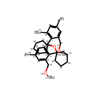 CC(C)c1cc(COC(C)(C)C)c(C2(OC3(c4c(COC(C)(C)C)cc(C(C)C)cc4C(C)(C)C)CCCCC3)CCCCC2)c(C(C)(C)C)c1